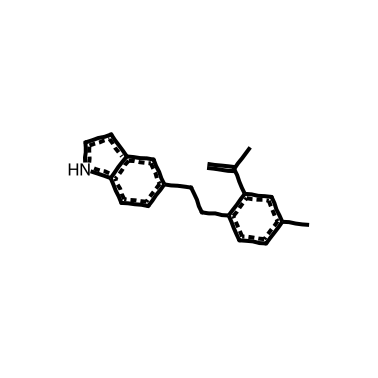 C=C(C)c1cc(C)ccc1CCc1ccc2[nH]ccc2c1